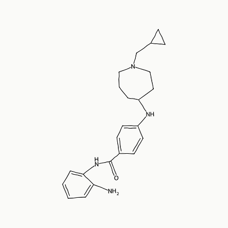 Nc1ccccc1NC(=O)c1ccc(NC2CCCN(CC3CC3)CC2)cc1